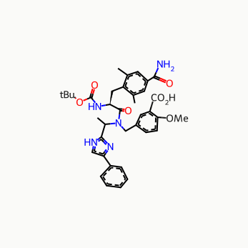 COc1ccc(CN(C(=O)[C@H](Cc2c(C)cc(C(N)=O)cc2C)NC(=O)OC(C)(C)C)C(C)c2nc(-c3ccccc3)c[nH]2)cc1C(=O)O